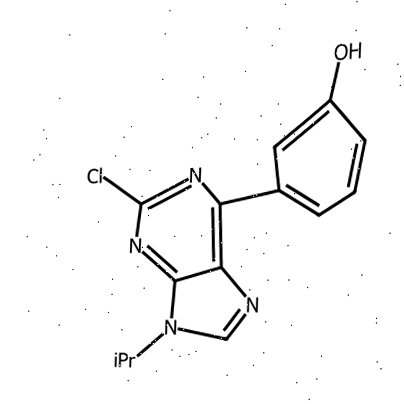 CC(C)n1cnc2c(-c3cccc(O)c3)nc(Cl)nc21